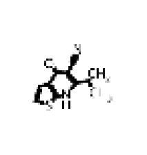 CC(C)c1[nH]c2sccc2c(=O)c1C#N